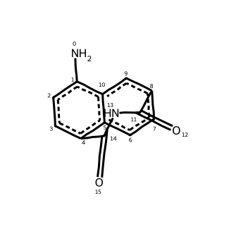 Nc1ccc2c3ccc(cc13)C(=O)NC2=O